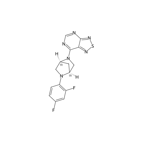 Fc1ccc(N2C[C@@H]3C[C@H]2CN3c2ncnc3nsnc23)c(F)c1